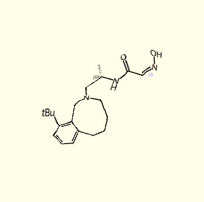 C[C@@H](CN1CCCCc2cccc(C(C)(C)C)c2C1)NC(=O)/C=N\O